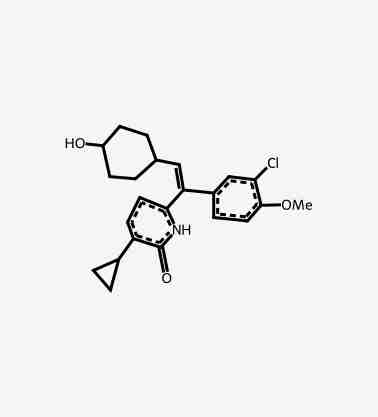 COc1ccc(C(=CC2CCC(O)CC2)c2ccc(C3CC3)c(=O)[nH]2)cc1Cl